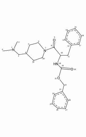 CN(C)CC1CCN(C(=O)C(Cc2ccccc2)NC(=O)OCc2ccccc2)CC1